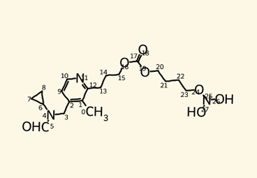 Cc1c(CN(C=O)C2CC2)ccnc1CCCOC(=O)OCCCCON(O)O